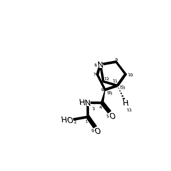 O=C(O)NC(=O)[C@H]1CN2CC[C@@H]1C2